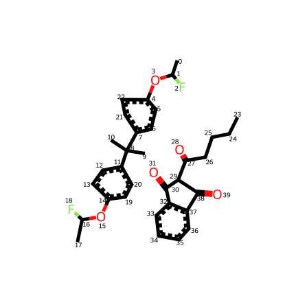 CC(F)Oc1ccc(C(C)(C)c2ccc(OC(C)F)cc2)cc1.CCCCC(=O)C1C(=O)c2ccccc2C1=O